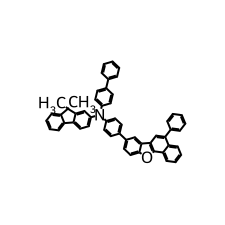 CC1(C)c2ccccc2-c2ccc(N(c3ccc(-c4ccccc4)cc3)c3ccc(-c4ccc5oc6c7ccccc7c(-c7ccccc7)cc6c5c4)cc3)cc21